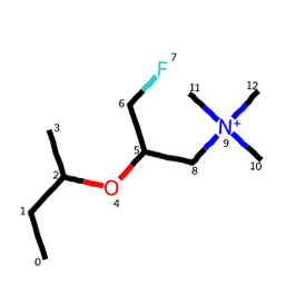 CCC(C)OC(CF)C[N+](C)(C)C